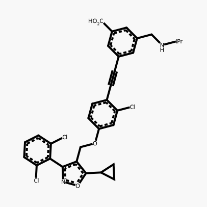 CC(C)NCc1cc(C#Cc2ccc(OCc3c(-c4c(Cl)cccc4Cl)noc3C3CC3)cc2Cl)cc(C(=O)O)c1